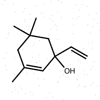 C=CC1(O)C=C(C)CC(C)(C)C1